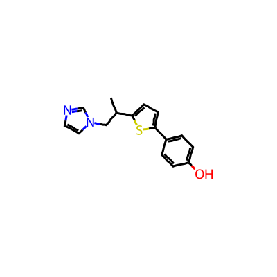 CC(Cn1ccnc1)c1ccc(-c2ccc(O)cc2)s1